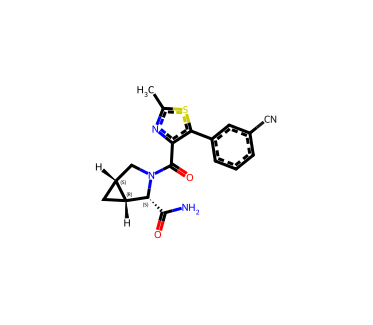 Cc1nc(C(=O)N2C[C@H]3C[C@H]3[C@H]2C(N)=O)c(-c2cccc(C#N)c2)s1